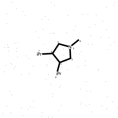 CC(C)C1CN(C)CC1C(C)C